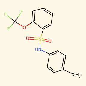 [CH2]c1ccc(NS(=O)(=O)c2ccccc2OC(F)(F)F)cc1